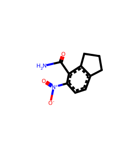 NC(=O)c1c([N+](=O)[O-])ccc2c1CCC2